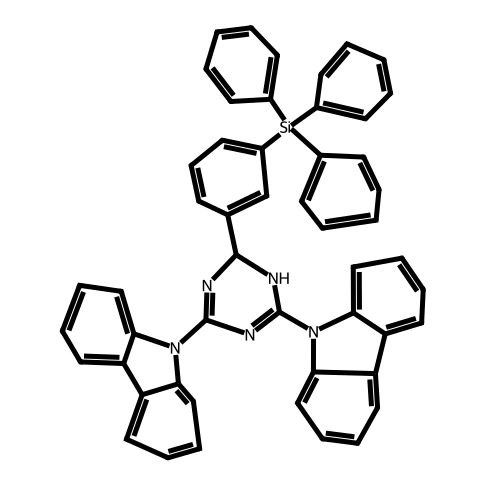 c1ccc([Si](c2ccccc2)(c2ccccc2)c2cccc(C3N=C(n4c5ccccc5c5ccccc54)N=C(n4c5ccccc5c5ccccc54)N3)c2)cc1